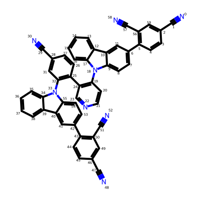 N#Cc1ccc(-c2ccc3c(c2)c2ccccc2n3-c2ccncc2-c2ccc(C#N)cc2-n2c3ccccc3c3cc(-c4ccc(C#N)cc4C#N)ccc32)c(C#N)c1